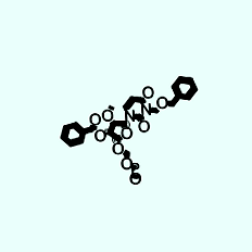 COC1[C@@H](OC(=O)c2ccccc2)[C@@H](OCOP=O)O[C@H]1n1ccc(=O)n(COCc2ccccc2)c1=O